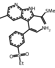 C=C(SC)c1[nH]c2ncc(C)cc2c1/C(=C\N)c1cccc(S(=O)(=O)CC)c1